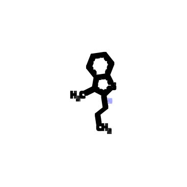 C=C/C=c1/sc2ccccc2c1=C